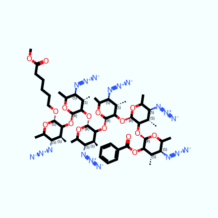 COC(=O)CCCCCO[C@H]1OC(C)[C@@H](N=[N+]=[N-])[C@H](C)C1O[C@H]1OC(C)[C@@H](N=[N+]=[N-])[C@H](C)C1O[C@H]1OC(C)[C@@H](N=[N+]=[N-])[C@H](C)C1O[C@H]1OC(C)[C@@H](N=[N+]=[N-])[C@H](C)C1O[C@H]1OC(C)[C@@H](N=[N+]=[N-])[C@H](C)C1O[C@H]1OC(C)[C@@H](N=[N+]=[N-])[C@H](C)C1OC(=O)c1ccccc1